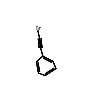 BrC#Cc1cc[c]cc1